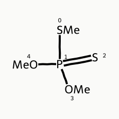 [CH2]SP(=S)(OC)OC